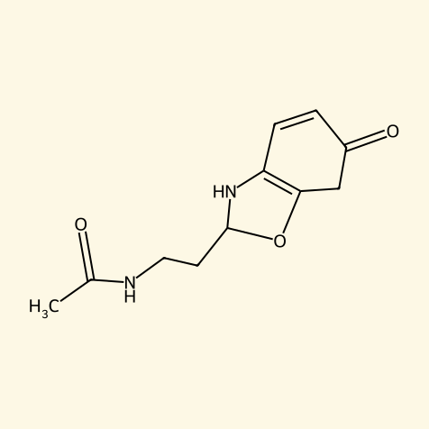 CC(=O)NCCC1NC2=C(CC(=O)C=C2)O1